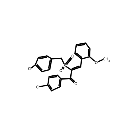 COc1ccccc1/C=C(/C(=O)c1ccc(Cl)cc1)S(=O)(=O)Cc1ccc(Cl)cc1